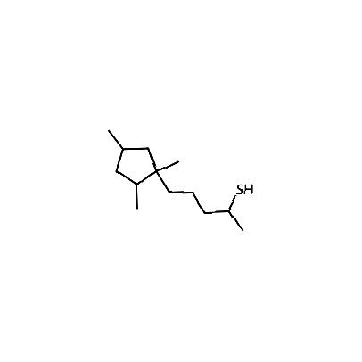 CC(S)CCCC1(C)CC(C)CC1C